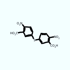 O=C(O)c1cc(Sc2ccc([N+](=O)[O-])c(C(=O)O)c2)ccc1[N+](=O)[O-]